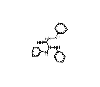 N=C(NNc1ccccc1)N(Nc1ccccc1)Nc1ccccc1